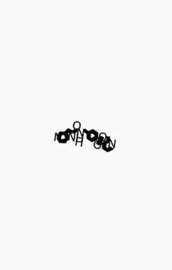 Cc1ncccc1S(=O)(=O)c1ccc(CNC(=O)c2cc3cnccc3[nH]2)cc1